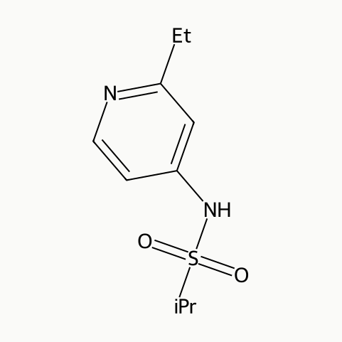 CCc1cc(NS(=O)(=O)C(C)C)ccn1